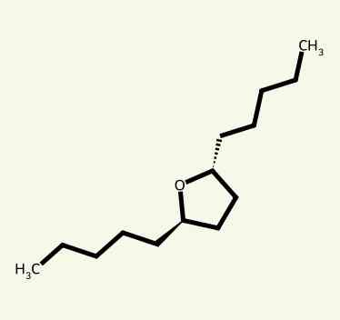 CCCCC[C@@H]1CC[C@@H](CCCCC)O1